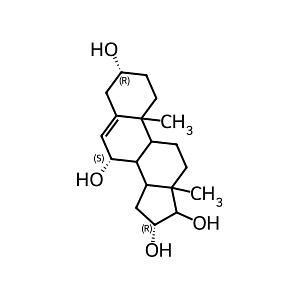 CC12CC[C@@H](O)CC1=C[C@@H](O)C1C2CCC2(C)C1C[C@@H](O)C2O